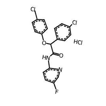 Cl.O=C(Nc1ccc(F)cn1)C(Oc1ccc(Cl)cc1)c1ccc(Cl)cc1